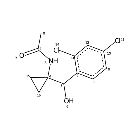 CC(=O)NC1(C(O)c2ccc(Cl)cc2Cl)CC1